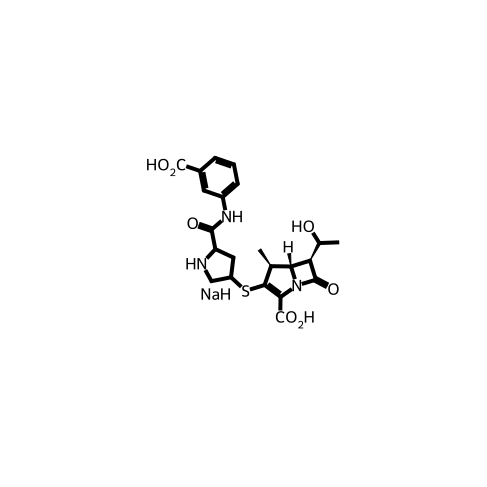 CC(O)[C@H]1C(=O)N2C(C(=O)O)=C(SC3CNC(C(=O)Nc4cccc(C(=O)O)c4)C3)[C@@H](C)[C@H]12.[NaH]